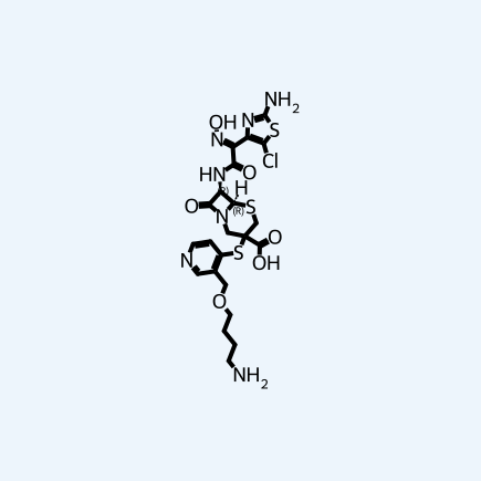 NCCCCOCc1cnccc1SC1(C(=O)O)CS[C@@H]2[C@H](NC(=O)C(=NO)c3nc(N)sc3Cl)C(=O)N2C1